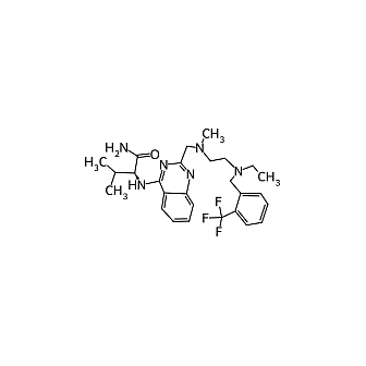 CCN(CCN(C)Cc1nc(N[C@H](C(N)=O)C(C)C)c2ccccc2n1)Cc1ccccc1C(F)(F)F